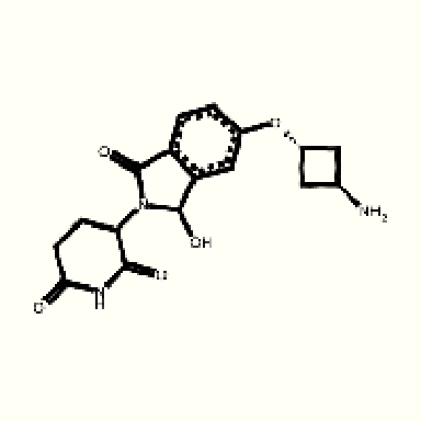 N[C@H]1C[C@H](Oc2ccc3c(c2)C(O)N(C2CCC(=O)NC2=O)C3=O)C1